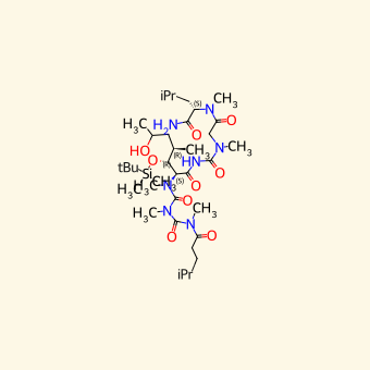 CC(C)CCC(=O)N(C)C(=O)N(C)C(=O)N(C)[C@H](C(=O)NC(=O)N(C)CC(=O)N(C)[C@@H](CC(C)C)C(N)=O)[C@H](O[Si](C)(C)C(C)(C)C)[C@H](C)CC(C)O